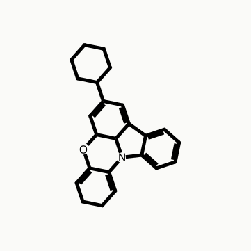 C1=C2OC3C=C(C4CCCCC4)C=C4c5ccccc5N(C2=CCC1)C43